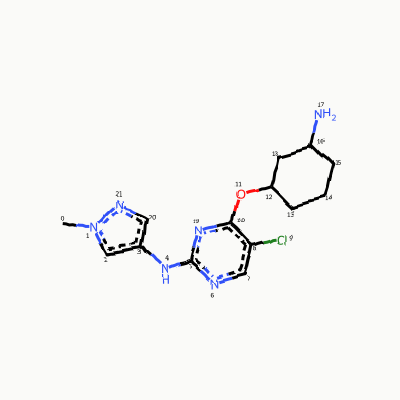 Cn1cc(Nc2ncc(Cl)c(OC3CCCC(N)C3)n2)cn1